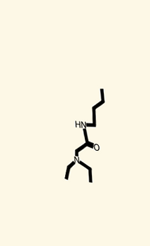 CCCCNC(=O)CN(CC)CC